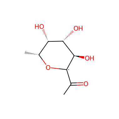 CC(=O)[C]1O[C@H](C)[C@H](O)[C@H](O)[C@H]1O